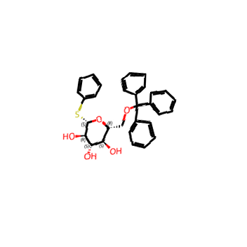 O[C@@H]1[C@@H](O)[C@H](Sc2ccccc2)O[C@H](COC(c2ccccc2)(c2ccccc2)c2ccccc2)[C@H]1O